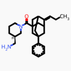 CCC=C1C2CC3(C(=O)N4CCC[C@H](CN)C4)CC1CC(c1ccccc1)(C2)C3